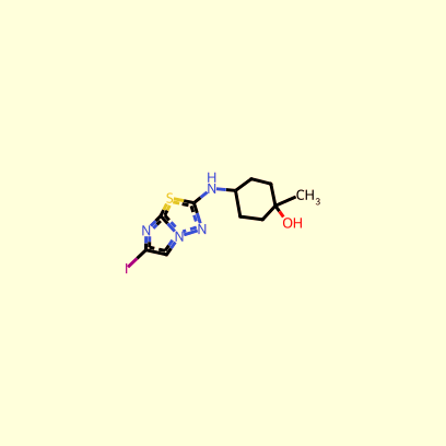 CC1(O)CCC(Nc2nn3cc(I)nc3s2)CC1